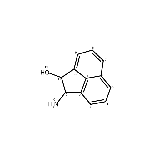 NC1c2cccc3cccc(c23)C1O